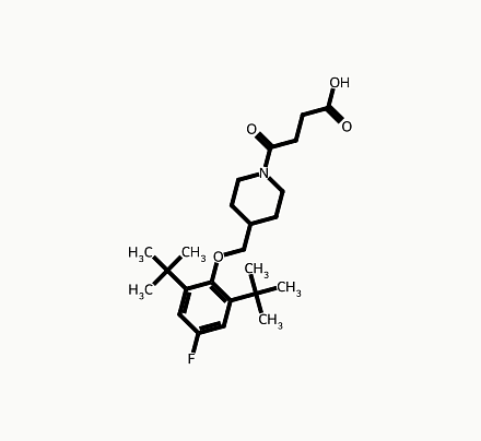 CC(C)(C)c1cc(F)cc(C(C)(C)C)c1OCC1CCN(C(=O)CCC(=O)O)CC1